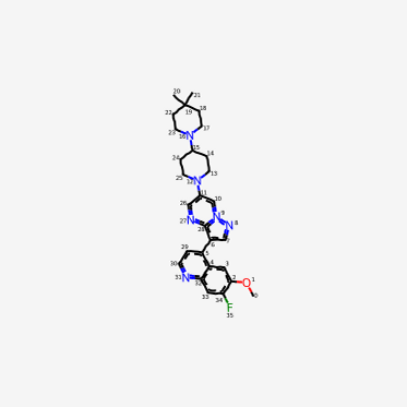 COc1cc2c(-c3cnn4cc(N5CCC(N6CCC(C)(C)CC6)CC5)cnc34)ccnc2cc1F